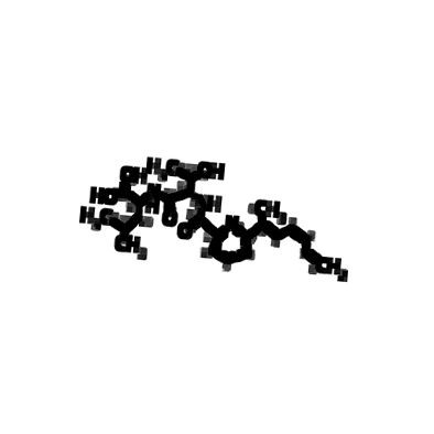 C=C/C=C\C=C(/C)c1cccc(C(=O)N[C@H](C(=O)N[C@@H](CC(C)C)B(O)O)C(C)O)n1